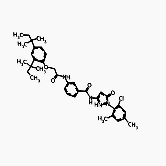 CCC(C)(C)c1ccc(OCC(=O)Nc2cccc(C(=O)Nc3cc(=O)n(-c4c(C)cc(C)cc4Cl)[nH]3)c2)c(C(C)(C)CC)c1